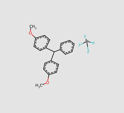 COc1ccc(C(c2ccccc2)c2ccc(OC)cc2)cc1.F[B-](F)(F)F